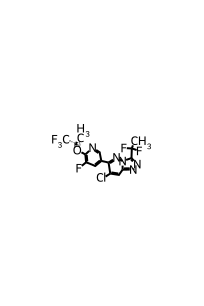 C[C@H](Oc1ncc(-c2nn3c(C(C)(F)F)nnc3cc2Cl)cc1F)C(F)(F)F